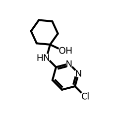 OC1(Nc2ccc(Cl)nn2)CCCCC1